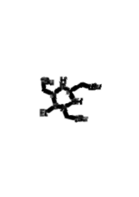 CCB1N(CC(C)(C)C)BN(CC(C)(C)C)BN1CC(C)(C)C